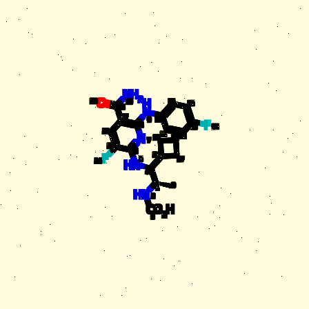 C[C@H](NC(=O)O)[C@@H](Nc1nc(Nc2ccc(F)cc2)c(C(N)=O)cc1F)C1CCC1